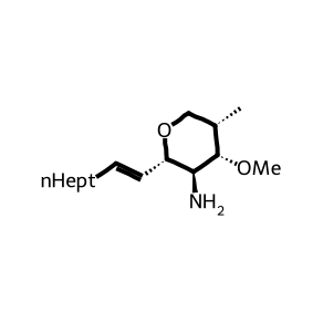 CCCCCCCC=C[C@@H]1OC[C@H](C)[C@H](OC)[C@H]1N